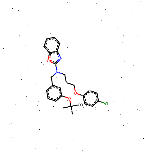 CC(C)(Oc1cccc(CN(CCCOc2ccc(Cl)cc2)c2nc3ccccc3o2)c1)C(=O)O